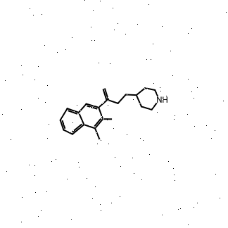 C=C(CCC1CCNCC1)c1cc2ccccc2c(C)c1C